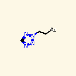 CC(=O)CCn1ncnn1